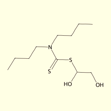 CCCCN(CCCC)C(=S)SC(O)CO